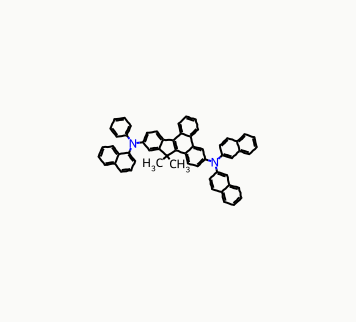 CC1(C)c2cc(N(c3ccccc3)c3cccc4ccccc34)ccc2-c2c1c1ccc(N(c3ccc4ccccc4c3)c3ccc4ccccc4c3)cc1c1ccccc21